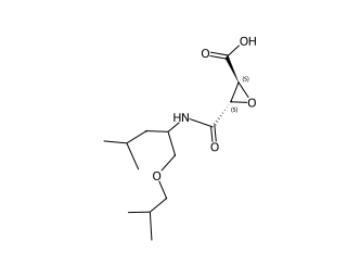 CC(C)COCC(CC(C)C)NC(=O)[C@H]1O[C@@H]1C(=O)O